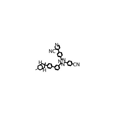 C[C@H]1C[C@@H]2C[C@H](C1)CC(C)(c1ccc(-c3cccc(-c4nc(-c5ccc(C#N)cc5)nc(-c5ccc(-c6ccncc6C#N)cc5)n4)c3)cc1)C2